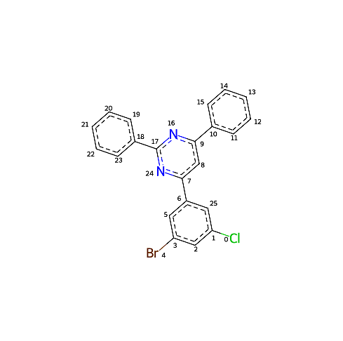 Clc1cc(Br)cc(-c2cc(-c3ccccc3)nc(-c3ccccc3)n2)c1